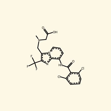 CN(CC(=O)O)Cc1c(C(F)(F)F)nc2c(NC(=O)c3c(Cl)cccc3Cl)cccn12